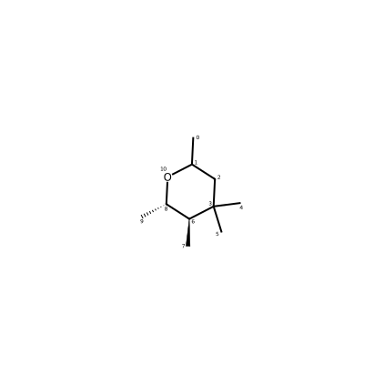 CC1CC(C)(C)[C@@H](C)[C@H](C)O1